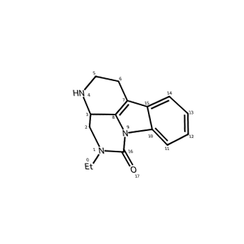 CCN1CC2NCCc3c2n(c2ccccc32)C1=O